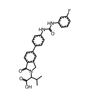 CC(C)C(C(=O)O)N1Cc2cc(-c3ccc(NC(=O)Nc4cccc(F)c4)cc3)ccc2C1=O